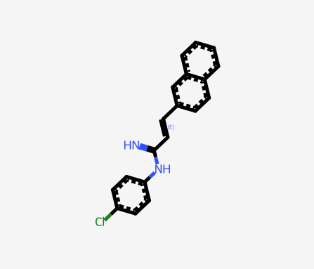 N=C(/C=C/c1ccc2ccccc2c1)Nc1ccc(Cl)cc1